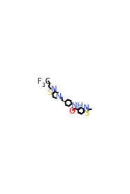 Cc1nc2cc(C(=O)N[C@H]3CC[C@H](CCN4CCc5sc(CCC(F)(F)F)nc5C4)CC3)ccc2s1